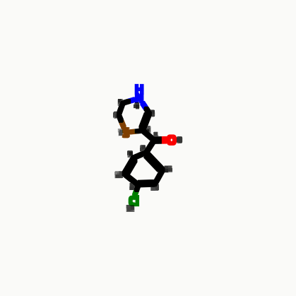 O=C(C1=CNCCS1)c1ccc(Cl)cc1